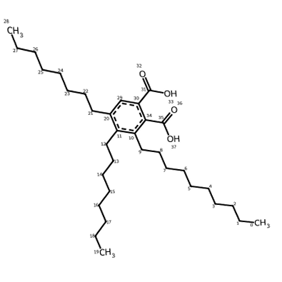 CCCCCCCCCCc1c(CCCCCCCC)c(CCCCCCCC)cc(C(=O)O)c1C(=O)O